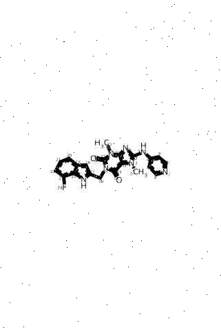 Cn1c(Nc2ccncc2)nc2c1c(=O)n(Cc1cc3cccc(F)c3[nH]1)c(=O)n2C